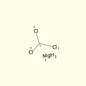 ClC(Cl)Cl.[MgH2]